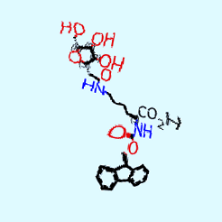 O=C(C[C@@H]1O[C@H](CO)[C@@H](O)[C@H]1O)NCCCC[C@H](NC(=O)OCC1c2ccccc2-c2ccccc21)C(=O)O